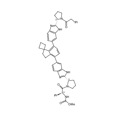 COC(=O)N[C@H](C(=O)N1CCC[C@H]1c1nc2ccc(-c3ccc(-c4ccc5nc([C@@H]6CCCN6C(=O)CC(C)C)[nH]c5c4)c4c3CCC43CCC3)cc2[nH]1)C(C)C